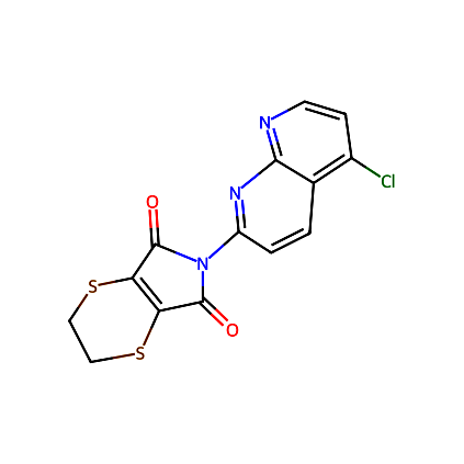 O=C1C2=C(SCCS2)C(=O)N1c1ccc2c(Cl)ccnc2n1